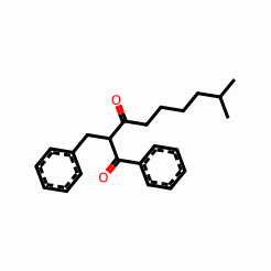 CC(C)CCCCC(=O)C(Cc1ccccc1)C(=O)c1ccccc1